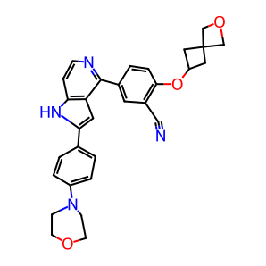 N#Cc1cc(-c2nccc3[nH]c(-c4ccc(N5CCOCC5)cc4)cc23)ccc1OC1CC2(COC2)C1